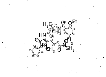 CCOc1ccc(Cl)cc1C(=O)NCC(C)(C)CC(=O)Nc1c(CCCC(=O)N(C)C)n(C)n(-c2ccccc2)c1=O